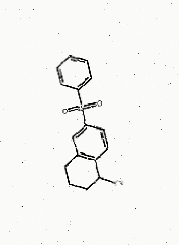 N#CC1CCCc2cc(S(=O)(=O)c3ccccc3)ccc21